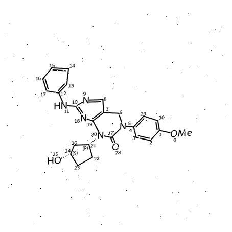 COc1ccc(N2Cc3cnc(Nc4ccccc4)nc3N([C@@H]3CC[C@H](O)C3)C2=O)cc1